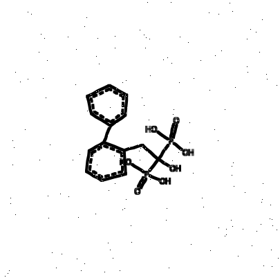 O=P(O)(O)C(O)(Cc1ccccc1-c1ccccc1)P(=O)(O)O